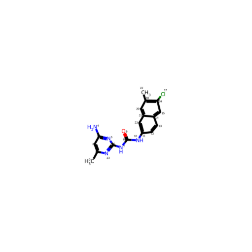 Cc1cc(N)nc(NC(=O)Nc2ccc3cc(Cl)c(C)cc3c2)n1